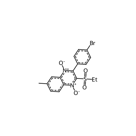 CCS(=O)(=O)c1c(-c2ccc(Br)cc2)[n+]([O-])c2cc(C)ccc2[n+]1[O-]